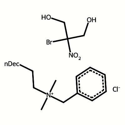 CCCCCCCCCCCC[N+](C)(C)Cc1ccccc1.O=[N+]([O-])C(Br)(CO)CO.[Cl-]